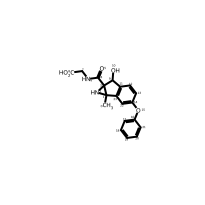 CC12NC1(C(=O)NCC(=O)O)C(O)c1ccc(Oc3ccccc3)cc12